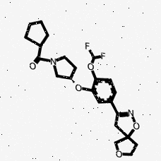 O=C(C1CCCC1)N1CC[C@H](Oc2cc(C3=NOC4(CCOC4)C3)ccc2OC(F)F)C1